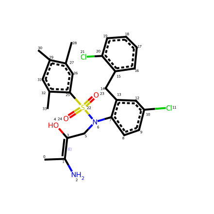 C/C(N)=C(\O)CN(c1ccc(Cl)cc1Cc1ccccc1Cl)S(=O)(=O)c1cc(C)c(C)cc1C